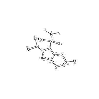 CN(C)S(=O)(=O)c1c(C(N)=O)[nH]c2ccc(Cl)cc12